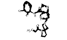 C=CC(=O)N1CCCC12CN(c1ccc3ncnc(Nc4cccc(Cl)c4F)c3n1)C2